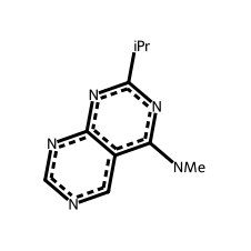 CNc1nc(C(C)C)nc2ncncc12